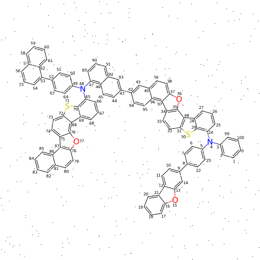 c1ccc(N(c2ccc(-c3ccc4c(c3)oc3ccccc34)cc2)c2cccc3c2sc2ccc4c(oc5ccc6cc(-c7ccc8c(N(c9ccc(-c%10cccc%11ccccc%10%11)cc9)c9cccc%10c9sc9ccc%11c(oc%12ccc%13ccccc%13c%12%11)c9%10)cccc8c7)ccc6c54)c23)cc1